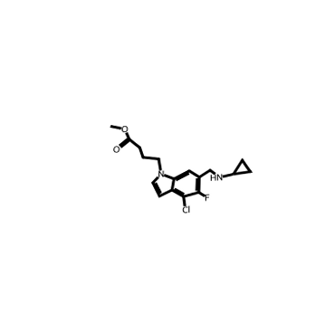 COC(=O)CCCn1ccc2c(Cl)c(F)c(CNC3CC3)cc21